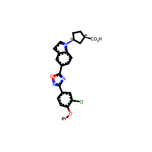 CC(C)Oc1ccc(-c2noc(-c3ccc4c(ccn4[C@H]4CC[C@@H](C(=O)O)C4)c3)n2)cc1Cl